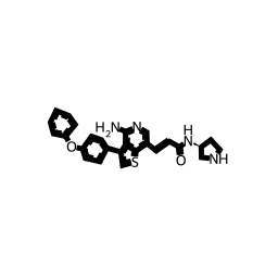 Nc1ncc(/C=C/C(=O)N[C@@H]2CCNC2)c2scc(-c3ccc(Oc4ccccc4)cc3)c12